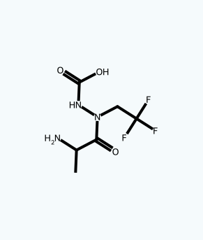 CC(N)C(=O)N(CC(F)(F)F)NC(=O)O